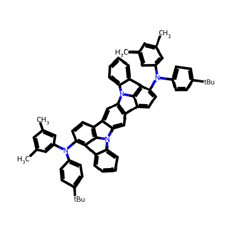 Cc1cc(C)cc(N(c2ccc(C(C)(C)C)cc2)c2ccc3c4cc5c(cc4n4c6ccccc6c2c34)c2ccc(N(c3ccc(C(C)(C)C)cc3)c3cc(C)cc(C)c3)c3c4ccccc4n5c23)c1